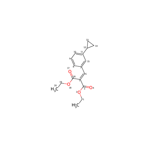 CCOC(=O)C(=Cc1cccc(C2CC2)c1)C(=O)OCC